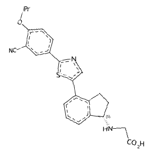 CC(C)Oc1ccc(-c2ncc(-c3cccc4c3CC[C@@H]4NCC(=O)O)s2)cc1C#N